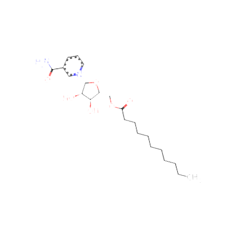 CCCCCCCCCCC(=O)OC[C@H]1O[C@@H]([n+]2cccc(C(N)=O)c2)[C@H](O)[C@@H]1O